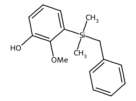 COc1c(O)cccc1[Si](C)(C)Cc1ccccc1